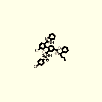 CCCC(NC(=O)c1ccc(-c2cc(Cl)ccc2-c2nc3ccccc3[nH]2)c(C(=O)NS(=O)(=O)c2ccc(Cl)cc2)c1)c1ccccc1